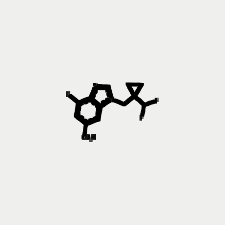 O=C(O)c1cc(F)c2ncn(CC3(C(F)F)CC3)c2c1